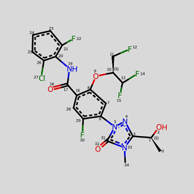 C[C@H](O)c1nn(-c2cc(O[C@@H](CF)C(F)F)c(C(=O)Nc3c(F)cccc3Cl)cc2F)c(=O)n1C